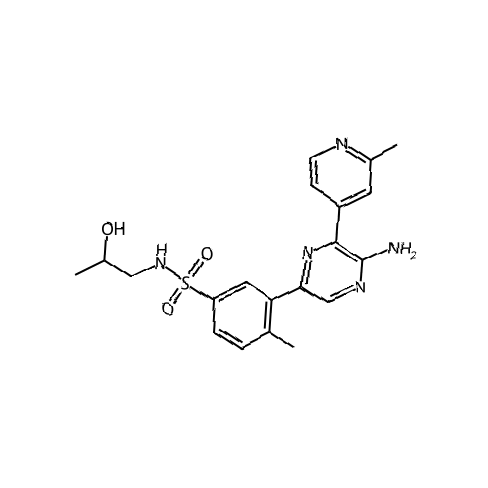 Cc1cc(-c2nc(-c3cc(S(=O)(=O)NCC(C)O)ccc3C)cnc2N)ccn1